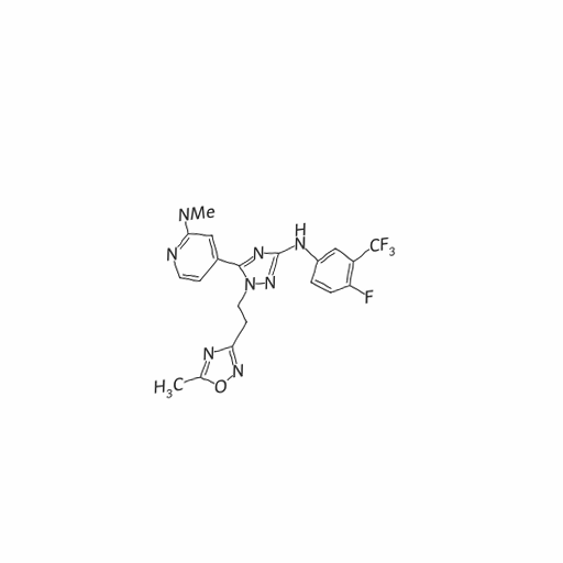 CNc1cc(-c2nc(Nc3ccc(F)c(C(F)(F)F)c3)nn2CCc2noc(C)n2)ccn1